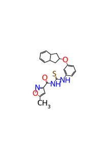 Cc1cc(C(=O)NC(=S)Nc2cccc(OC3CC4C=CC=CC4C3)c2)no1